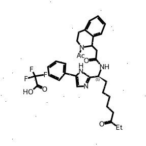 CCC(=O)CCCCC[C@H](NC(=O)CC1c2ccccc2CCN1C(C)=O)c1ncc(-c2ccccc2)[nH]1.O=C(O)C(F)(F)F